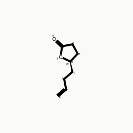 C=CCC[C@@H]1CCC(=O)O1